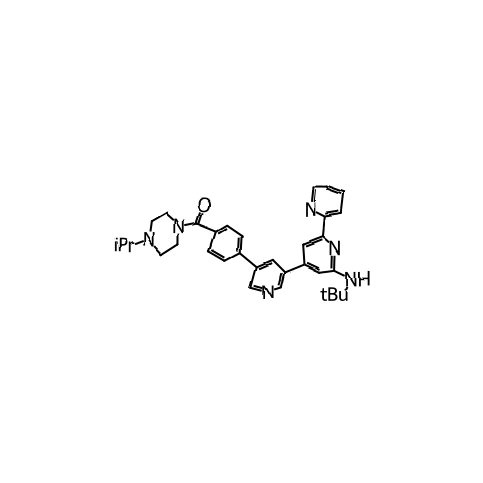 CC(C)N1CCN(C(=O)c2ccc(-c3cncc(-c4cc(NC(C)(C)C)nc(-c5ccccn5)c4)c3)cc2)CC1